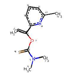 C=C(OC(=S)N(C)C)c1cccc(C)n1